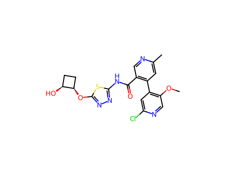 COc1cnc(Cl)cc1-c1cc(C)ncc1C(=O)Nc1nnc(O[C@@H]2CC[C@@H]2O)s1